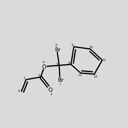 C=CC(=O)OC(Br)(Br)c1ccccc1